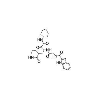 O=C(CNC(=O)c1cc2ccccc2[nH]1)NC(CC1CCCNC1=O)C(=O)C(=O)NC1CCCCC1